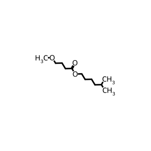 COCCCC(=O)OCCCCC(C)C